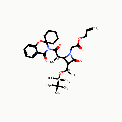 C=CCOC(=O)CN1C(=O)C([C@@H](C)O[Si](C)(C)C(C)(C)C)C1[C@@H](C)C(=O)N1C(=O)c2ccccc2OC12CCCCC2